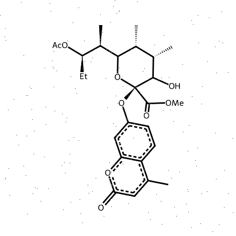 CC[C@@H](OC(C)=O)[C@@H](C)C1O[C@@](Oc2ccc3c(C)cc(=O)oc3c2)(C(=O)OC)C(O)[C@@H](C)[C@H]1C